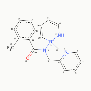 C[N+]1(N(Cc2ccccn2)C(=O)c2ccccc2C(F)(F)F)C=CC=CN1